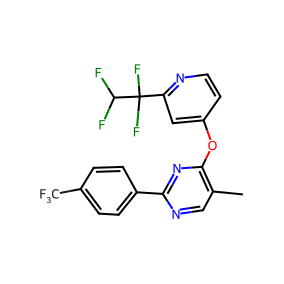 Cc1cnc(-c2ccc(C(F)(F)F)cc2)nc1Oc1ccnc(C(F)(F)C(F)F)c1